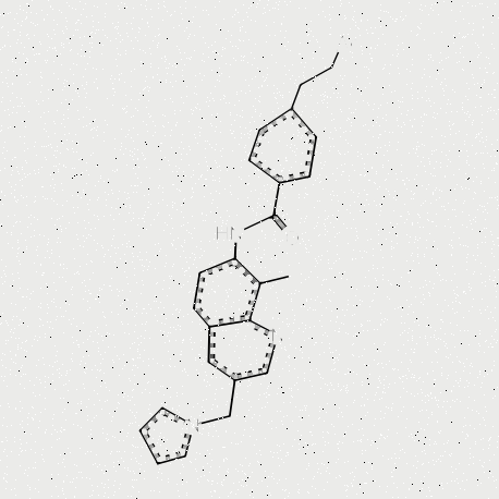 CC(=O)CCc1ccc(C(=O)Nc2ccc3cc(Cn4cccc4)cnc3c2C)cc1